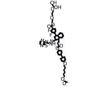 C#CC(O)OCCCOCCOC(=O)c1ccc(-c2cc(/C=N/Nc3nc4nccnc4s3)c(/C=C/C(=O)Oc3ccc(-c4ccc(OCCCCCCOC5CO5)cc4)cc3)c3ccccc23)c(F)c1F